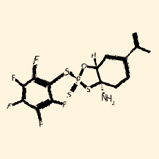 C=C(C)[C@H]1CC[C@@]2(N)S[P@@](=S)(Sc3c(F)c(F)c(F)c(F)c3F)O[C@@H]2C1